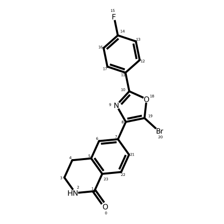 O=C1NCCc2cc(-c3nc(-c4ccc(F)cc4)oc3Br)ccc21